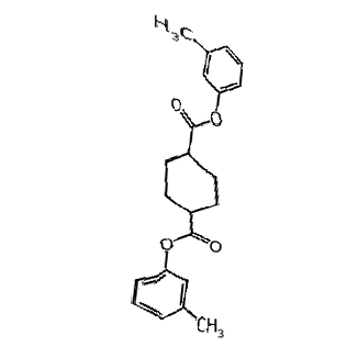 Cc1cccc(OC(=O)C2CCC(C(=O)Oc3cccc(C)c3)CC2)c1